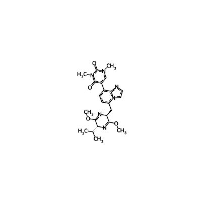 COC1=N[C@H](C(C)C)C(OC)=N[C@H]1Cc1ccc(-c2cn(C)c(=O)n(C)c2=O)c2nccn12